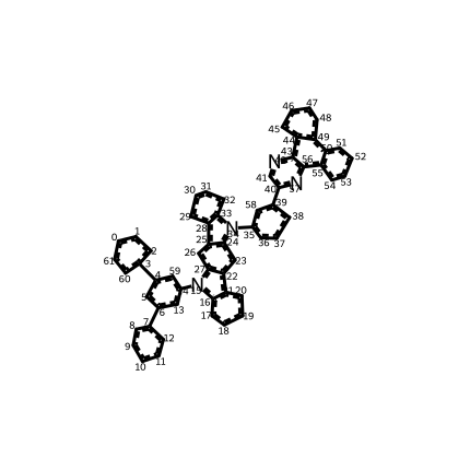 c1ccc(-c2cc(-c3ccccc3)cc(-n3c4ccccc4c4cc5c(cc43)c3ccccc3n5-c3cccc(-c4cnc5c6ccccc6c6ccccc6c5n4)c3)c2)cc1